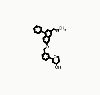 COCc1cc(-c2ccccc2)c2ccc(OCc3cccc(C4CC(O)CCO4)c3)cc2c1